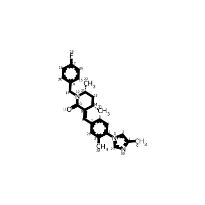 Cc1cn(-c2ccc(/C=C3/C(=O)N(Cc4ccc(F)cc4)[C@H](C)C[C@@H]3C)cc2C)cn1